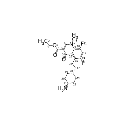 CCOC(=O)c1cn(C)c2c(F)cc(F)c(CC[C@H]3CC[C@H](N)CC3)c2c1=O